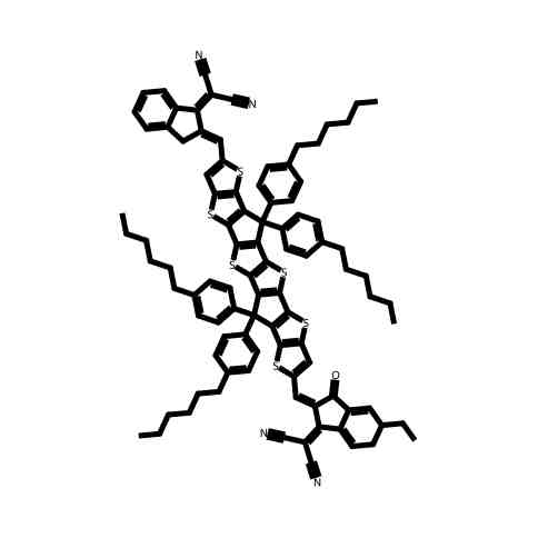 CCCCCCc1ccc(C2(c3ccc(CCCCCC)cc3)c3c(sc4cc(/C=C5\C(=O)C6=CC(CC)CC=C6C5=C(C#N)C#N)sc34)-c3sc4c5c(sc4c32)-c2sc3cc(/C=C4\Cc6ccccc6C4=C(C#N)C#N)sc3c2C5(c2ccc(CCCCCC)cc2)c2ccc(CCCCCC)cc2)cc1